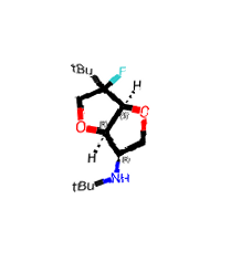 CC(C)(C)N[C@@H]1CO[C@H]2[C@@H]1OCC2(F)C(C)(C)C